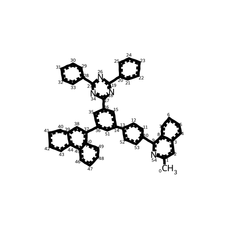 Cc1cc2ccccc2c(-c2ccc(-c3cc(-c4nc(-c5ccccc5)nc(-c5ccccc5)n4)cc(-c4cc5ccccc5c5ccccc45)c3)cc2)n1